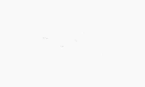 COc1ccc(CC(C)NCC(O)c2cccc(C(F)(F)F)c2)cc1OC